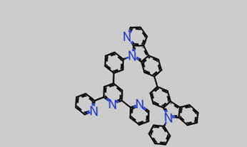 c1ccc(-n2c3ccccc3c3cc(-c4ccc5c6cccnc6n(-c6cccc(-c7cc(-c8ccccn8)nc(-c8ccccn8)c7)c6)c5c4)ccc32)cc1